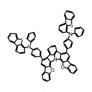 c1ccc(N(c2ccc(-c3cc4c5ccccc5oc4c4c3c3cccc5c6c(-c7ccc(N(c8ccccc8)c8cccc9c8sc8ccccc89)cc7)cc7c8ccccc8oc7c6n4c35)cc2)c2cccc3c2sc2ccccc23)cc1